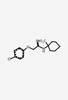 O=C(COc1ccc(Cl)cc1)NC1(C(=O)O)CCCCC1